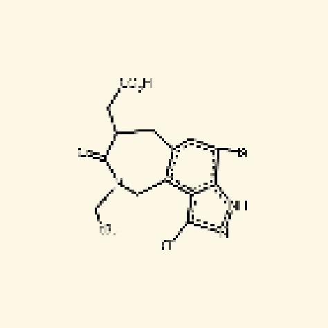 CC(C)(C)CN1Cc2c(cc(Br)c3[nH]nc(Cl)c23)CC(CC(=O)O)C1=O